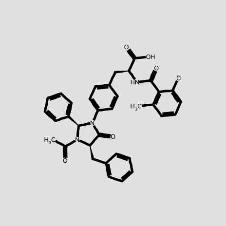 CC(=O)N1[C@H](Cc2ccccc2)C(=O)N(c2ccc(C[C@H](NC(=O)c3c(C)cccc3Cl)C(=O)O)cc2)[C@@H]1c1ccccc1